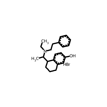 Br.CCN(CCc1ccccc1)C(C)C1CCCc2cc(O)ccc21